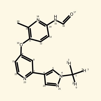 [2H]C([2H])([2H])n1cc(-c2cc(Oc3ccc(N[C]=O)nc3C)ccn2)cn1